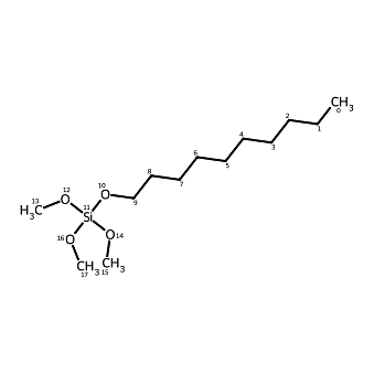 CCCCCCCCCCO[Si](OC)(OC)OC